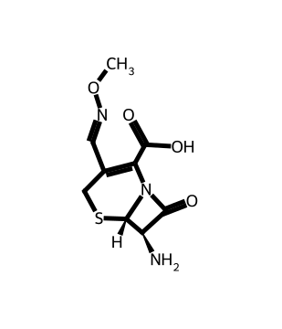 CON=CC1=C(C(=O)O)N2C(=O)[C@@H](N)[C@@H]2SC1